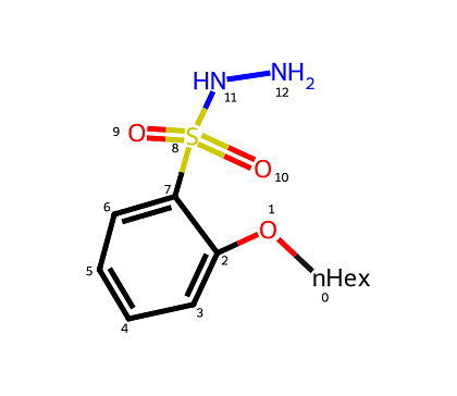 CCCCCCOc1ccccc1S(=O)(=O)NN